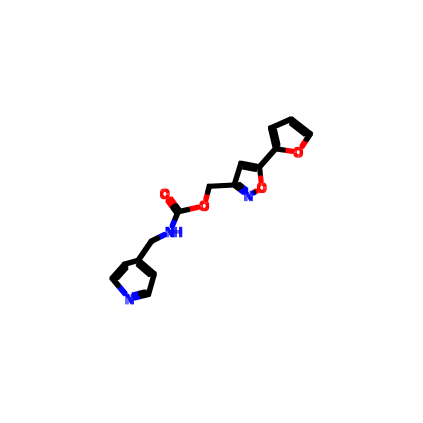 O=C(NCc1ccncc1)OCc1cc(-c2ccco2)on1